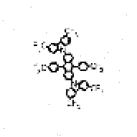 FC(F)(F)c1ccc(-c2c3ccc(-n4c5ccc(C(F)(F)F)cc5c5cc(C(F)(F)F)ccc54)cc3c(-c3ccc(C(F)(F)F)cc3)c3ccc(-n4c5ccc(C(F)(F)F)cc5c5cc(C(F)(F)F)ccc54)cc23)cc1